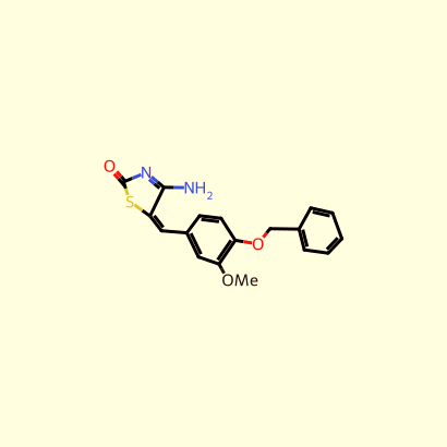 COc1cc(C=C2SC(=O)N=C2N)ccc1OCc1ccccc1